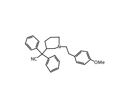 COc1ccc(CCN2CCCC(C(C#N)(c3ccccc3)c3ccccc3)C2)cc1